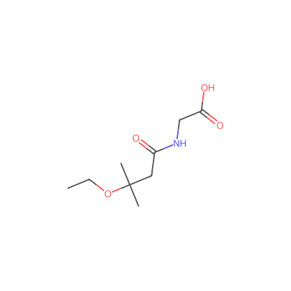 CCOC(C)(C)CC(=O)NCC(=O)O